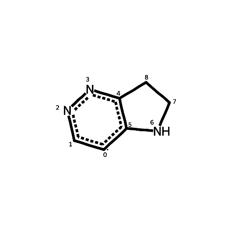 [c]1cnnc2c1NCC2